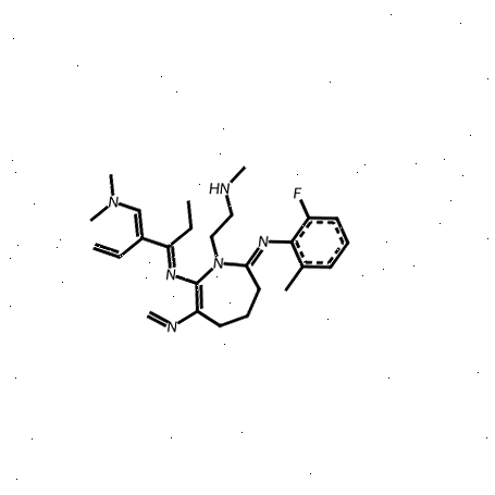 C=CC(=C\N(C)C)/C(CC)=N/C1=C(N=C)CCC/C(=N\c2c(C)cccc2F)N1CCNC